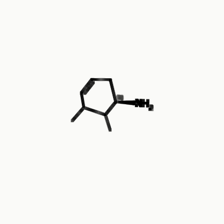 CC1C=CC[C@@H](N)C1C